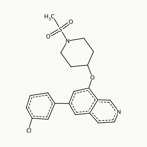 CS(=O)(=O)N1CCC(Oc2cc(-c3cccc(Cl)c3)cc3ccncc23)CC1